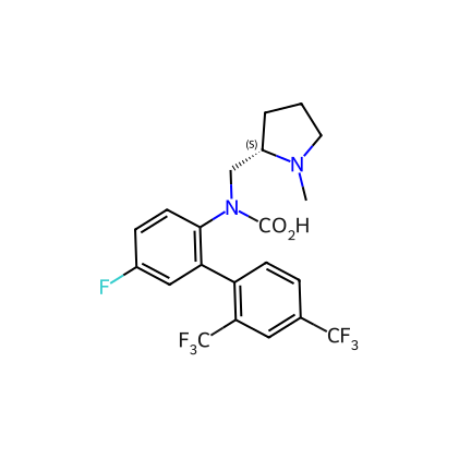 CN1CCC[C@H]1CN(C(=O)O)c1ccc(F)cc1-c1ccc(C(F)(F)F)cc1C(F)(F)F